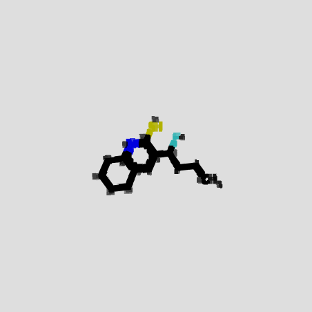 CCCC(F)c1cc2c(nc1S)CCCC2